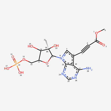 COC(=O)C#Cc1cn(C2OC(COP(=O)(O)O)C(O)[C@@]2(C)O)c2ncnc(N)c12